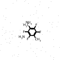 Cc1c(F)c(F)c(C)c(F)c1F.N.N